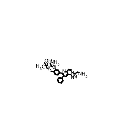 CC(C)(CO)CN(Cc1ccc(-c2nc3ccn4c(CN)nnc4c3cc2-c2ccccc2)cc1)C(=O)CN